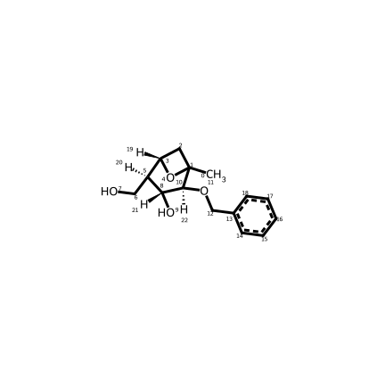 CC12C[C@H](O1)[C@H](CO)[C@@H](O)[C@@H]2OCc1ccccc1